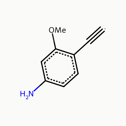 [C]#Cc1ccc(N)cc1OC